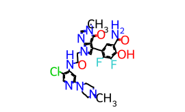 CN1CCN(c2cc(NC(=O)Cn3cc(-c4cc(C(N)=O)c(O)c(F)c4F)c4c(=O)n(C)cnc43)c(Cl)cn2)CC1